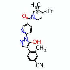 Cc1cc(C#N)ccc1-c1cnn(-c2ccc(C(=O)N3CCC(C(C)C)[C@H](C)C3)cn2)c1O